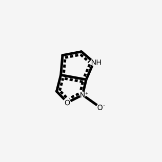 [O-][n+]1occ2cc[nH]c21